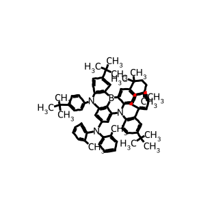 Cc1ccccc1N(c1cc2c3c(c1)N(c1ccc(C(C)(C)C)cc1-c1ccccc1)c1cc4c(cc1B3c1cc(C(C)(C)C)ccc1N2c1ccc(C(C)(C)C)cc1)C(C)(C)CCC4(C)C)c1ccccc1C